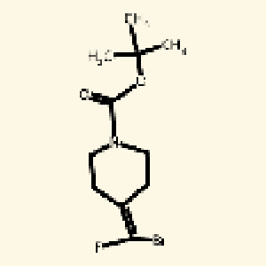 CC(C)(C)OC(=O)N1CCC(=C(F)Br)CC1